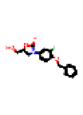 O=C1OC(CO)CN1c1ccc(OCc2ccccc2)c(F)c1